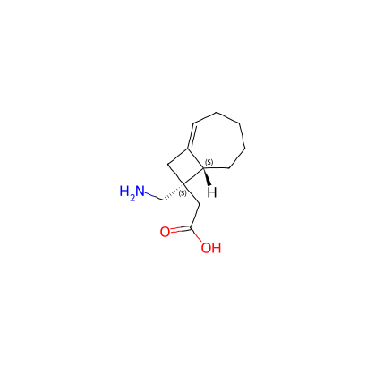 NC[C@]1(CC(=O)O)CC2=CCCCC[C@@H]21